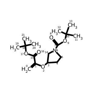 C=C(OC1CCN(C(=O)OC(C)(C)C)C1)C(=O)OC(C)(C)C